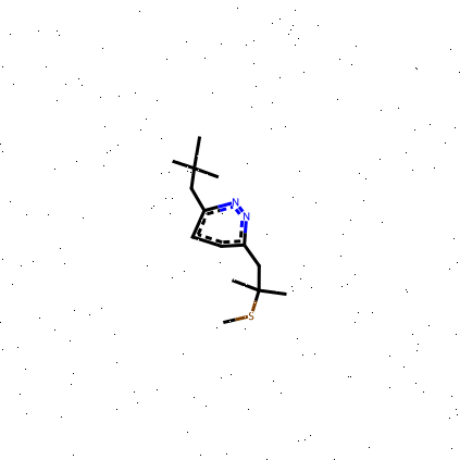 CSC(C)(C)Cc1ccc(CC(C)(C)C)nn1